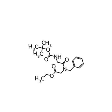 CCOC(=O)CN(Cc1ccccc1)C(=O)CNC(=O)OC(C)(C)C